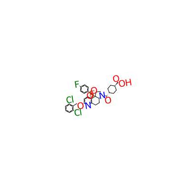 O=C(O)[C@H]1CC[C@H](C(=O)N2CCC3(S(=O)(=O)c4ccc(F)cc4)c4ccc(OCc5c(Cl)cccc5Cl)nc4CCC23)CC1